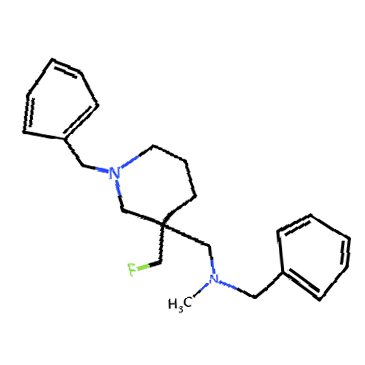 CN(Cc1ccccc1)CC1(CF)CCCN(Cc2ccccc2)C1